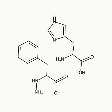 NC(Cc1c[nH]cn1)C(=O)O.NNC(Cc1ccccc1)C(=O)O